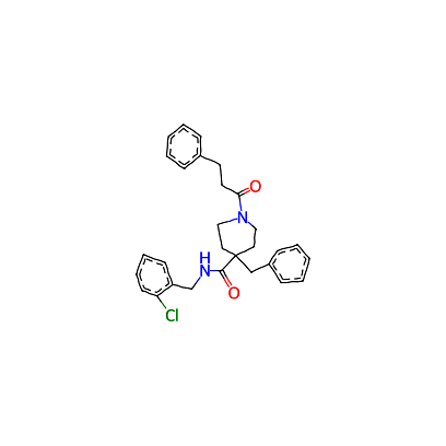 O=C(CCc1ccccc1)N1CCC(Cc2ccccc2)(C(=O)NCc2ccccc2Cl)CC1